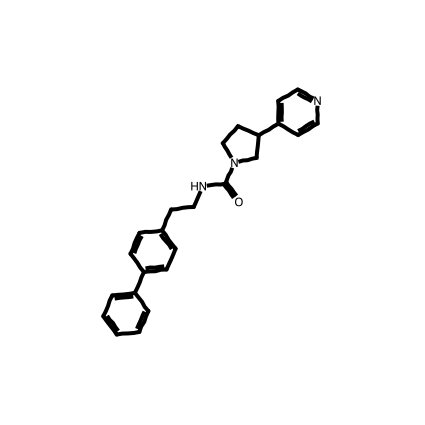 O=C(NCCc1ccc(-c2ccccc2)cc1)N1CCC(c2ccncc2)C1